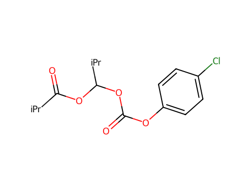 CC(C)C(=O)OC(OC(=O)Oc1ccc(Cl)cc1)C(C)C